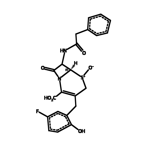 O=C(Cc1ccccc1)NC1C(=O)N2C(C(=O)O)=C(Cc3cc(F)ccc3O)C[S+]([O-])[C@H]12